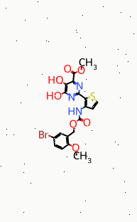 COC(=O)c1nc(-c2sccc2NC(=O)OCc2cc(Br)ccc2OC)nc(O)c1O